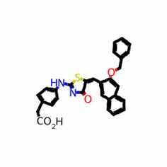 O=C(O)Cc1ccc(NC2=NC(=O)C(=Cc3cc4ccccc4cc3OCc3ccccc3)S2)cc1